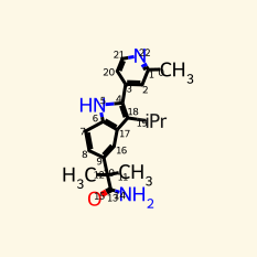 Cc1cc(-c2[nH]c3ccc(C(C)(C)C(N)=O)cc3c2C(C)C)ccn1